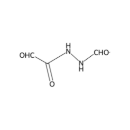 O=[C]NNC(=O)C=O